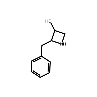 OC1CNC1Cc1ccccc1